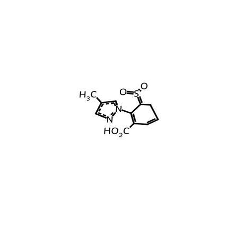 Cc1cnn(C2=C(C(=O)O)C=CCC2=S(=O)=O)c1